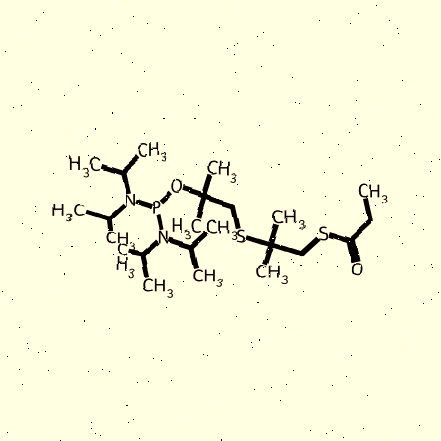 CCC(=O)SCC(C)(C)SCC(C)(C)OP(N(C(C)C)C(C)C)N(C(C)C)C(C)C